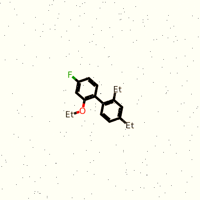 CCOc1cc(F)ccc1-c1ccc(CC)cc1CC